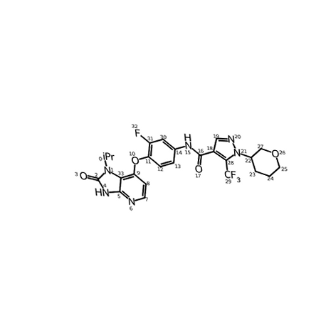 CC(C)n1c(=O)[nH]c2nccc(Oc3ccc(NC(=O)c4cnn(C5CCCOC5)c4C(F)(F)F)cc3F)c21